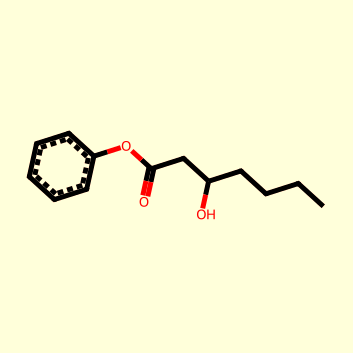 CCCCC(O)CC(=O)Oc1ccccc1